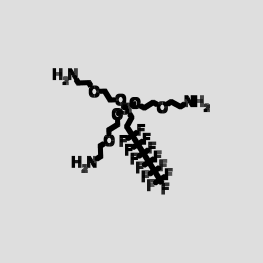 NCCOCCO[Si](CCC(F)(F)C(F)(F)C(F)(F)C(F)(F)C(F)(F)C(F)(F)F)(OCCOCCN)OCCOCCN